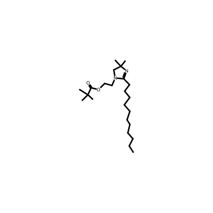 CCCCCCCCCCCC1=NC(C)(C)CN1CCOC(=O)C(C)(C)C